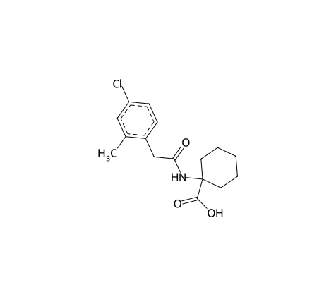 Cc1cc(Cl)ccc1CC(=O)NC1(C(=O)O)CCCCC1